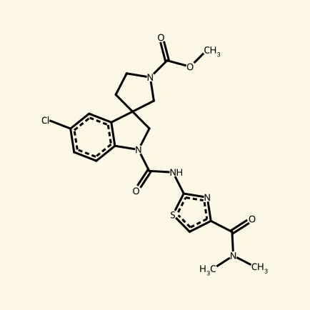 COC(=O)N1CCC2(C1)CN(C(=O)Nc1nc(C(=O)N(C)C)cs1)c1ccc(Cl)cc12